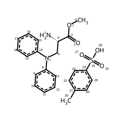 COC(=O)[C@@H](N)CN(c1ccccc1)c1ccccc1.Cc1ccc(S(=O)(=O)O)cc1